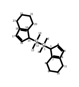 C[Si](C)(C1C=CC2=C1CCCC2)[Si](C)(C)C1C=CC2=C1CCCC2